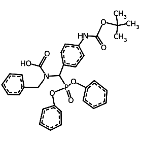 CC(C)(C)OC(=O)Nc1ccc(C(N(Cc2ccccc2)C(=O)O)P(=O)(Oc2ccccc2)Oc2ccccc2)cc1